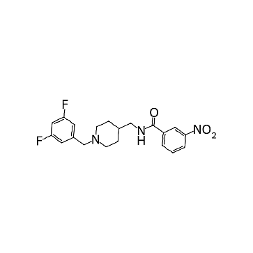 O=C(NCC1CCN(Cc2cc(F)cc(F)c2)CC1)c1cccc([N+](=O)[O-])c1